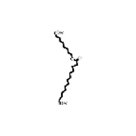 CCCCCCCCCCCCCCCCCCCCCCC(=O)OCCCCCCCCCCCCCCCCCC